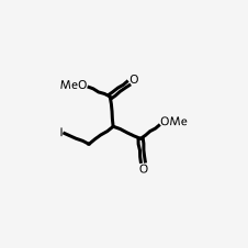 COC(=O)C(CI)C(=O)OC